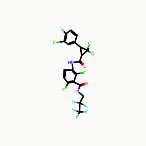 O=C(NCC(F)(F)C(F)(F)F)c1c(Cl)ccc(NC(=O)C2C(c3ccc(F)c(Cl)c3)C2(Cl)Cl)c1Cl